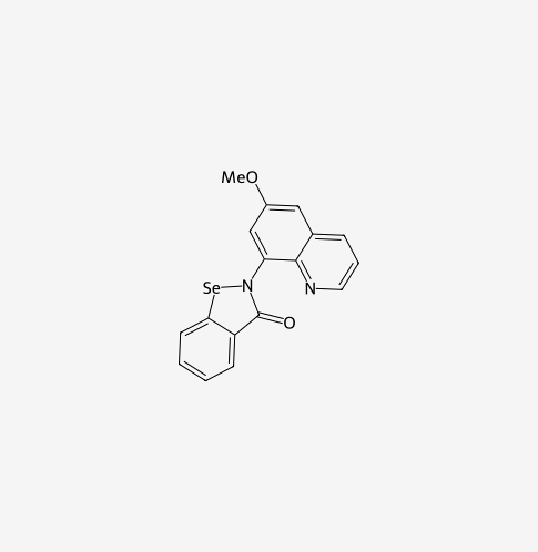 COc1cc(-n2[se]c3ccccc3c2=O)c2ncccc2c1